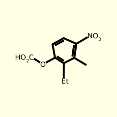 CCc1c(OC(=O)O)ccc([N+](=O)[O-])c1C